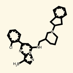 Bc1cnn2c(NCC3CCCN(C4Cc5ccccc5C4)C3)cc(-c3ccccc3Cl)nc12